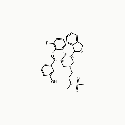 Cc1c(F)cccc1[C@H]1[C@@H](C(=O)c2cccc(O)c2)CN(CCN(C)S(C)(=O)=O)C[C@@H]1C1[N]Cc2ccccc21